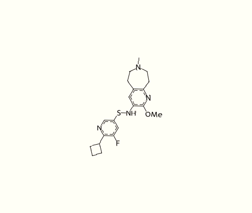 COc1nc2c(cc1NSc1cnc(C3CCC3)c(F)c1)CCN(C)CC2